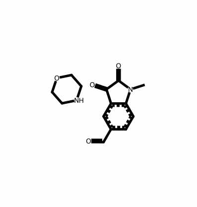 C1COCCN1.CN1C(=O)C(=O)c2cc(C=O)ccc21